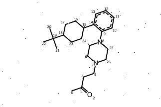 CC(=O)CCN1CCN(c2ccccc2C2CCC(C(C)(C)C)CC2)CC1